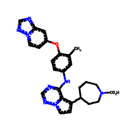 Cc1cc(Nc2ncnn3ccc(C4CCCN(C(=O)O)CC4)c23)ccc1Oc1ccn2ncnc2c1